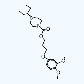 CCC(CC)N1CCN(C(=O)OCCCOc2ccc(OC)c(OC)c2)CC1